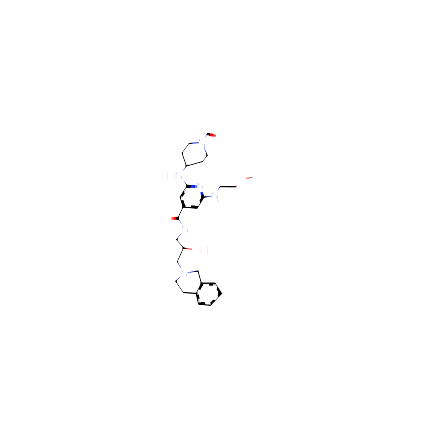 COCCN(C)c1cc(C(=O)NCC(O)CN2CCc3ccccc3C2)cc(NC2CCN(C=O)CC2)n1